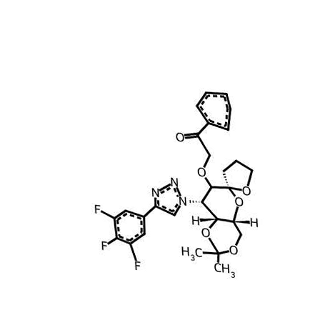 CC1(C)OC[C@H]2O[C@@]3(CCCO3)C(OCC(=O)c3ccccc3)[C@@H](n3cc(-c4cc(F)c(F)c(F)c4)nn3)[C@H]2O1